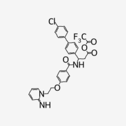 N=c1ccccn1CCOc1ccc(C(=O)NC(CC(=O)OC(=O)C(F)(F)F)c2ccc(-c3ccc(Cl)cc3)cc2)cc1